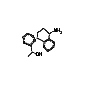 CC(O)c1ccccc1.NC1CCCc2ccccc21